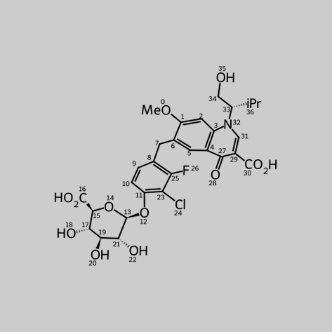 COc1cc2c(cc1Cc1ccc(O[C@@H]3O[C@H](C(=O)O)[C@@H](O)[C@H](O)[C@H]3O)c(Cl)c1F)c(=O)c(C(=O)O)cn2[C@H](CO)C(C)C